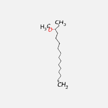 C=CCCCCCCCCCCCC(CC)OC